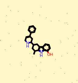 CC1CC(C2CC(c3ccccc3)=CCN2)Cc2c1[nH]c1c(O)cccc21